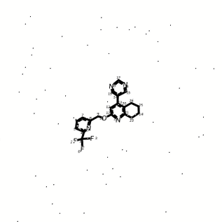 FC(F)(F)c1cccc(COc2cc(-c3cncnc3)c3c(n2)CCCC3)n1